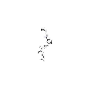 CCN(CCCN(C)C)C(=O)CNCc1cc(/C=N/CCO)ccn1